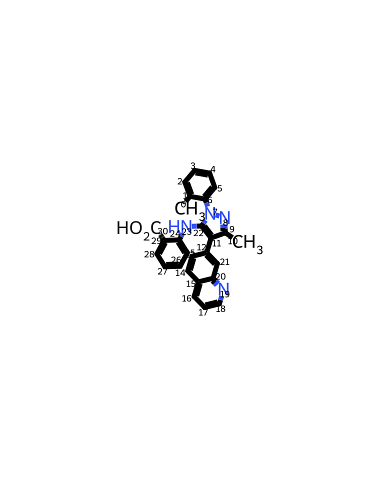 Cc1ccccc1-n1nc(C)c(-c2ccc3cccnc3c2)c1Nc1ccccc1C(=O)O